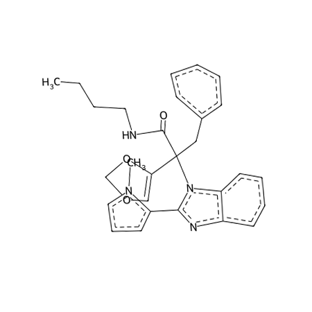 CCCCNC(=O)C(Cc1ccccc1)(C1=COCO1)n1c(-c2cccn2C)nc2ccccc21